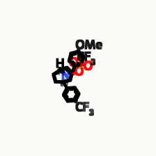 COc1ccc(CN2[C@H]3C=C(OS(=O)(=O)C(F)(F)F)C[C@]2(c2ccc(C(F)(F)F)cc2)CC3)cc1